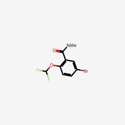 CNC(=O)c1cc(Br)ccc1OC(F)F